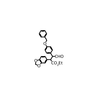 CCOC(=O)C(c1ccc2c(c1)OCO2)C(C=O)c1ccc(OCc2ccccc2)cc1